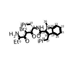 CCC(N)C(=O)C(Br)C(=O)[C@H](CC(C)C)NC(=O)c1c(CC(C)C)c2ccccc2n1C